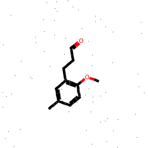 COc1ccc(C)cc1CCC=O